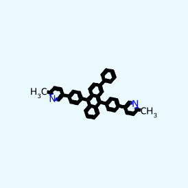 Cc1ccc(-c2ccc(-c3c4ccccc4c(-c4ccc(-c5ccc(C)nc5)cc4)c4cc(-c5ccccc5)ccc34)cc2)cn1